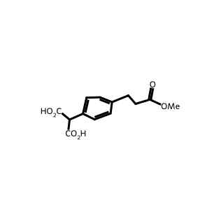 COC(=O)CCc1ccc(C(C(=O)O)C(=O)O)cc1